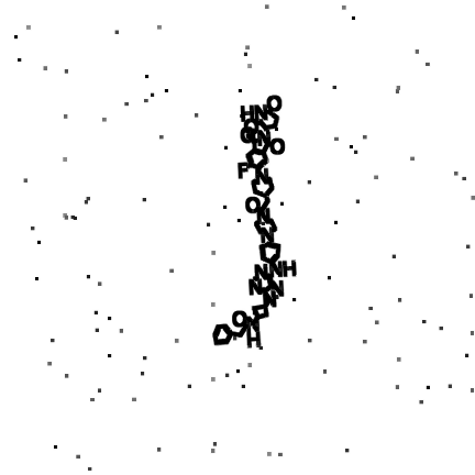 O=C1CC[C@H](N2C(=O)c3cc(F)c(N4CCC(CC(=O)N5CCN(c6ccc(Nc7ncnc8c7ncn8C7CC(NC(=O)Cc8ccccc8)C7)cc6)CC5)CC4)cc3C2=O)C(=O)N1